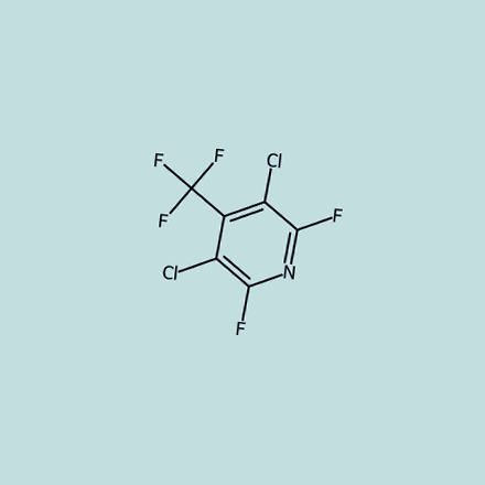 Fc1nc(F)c(Cl)c(C(F)(F)F)c1Cl